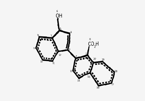 O=C(O)c1c(C2=CC(O)c3ccccc32)ccc2ccccc12